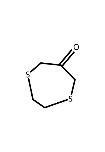 O=C1CSCCSC1